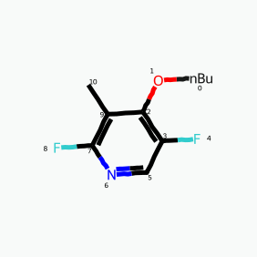 CCCCOc1c(F)cnc(F)c1C